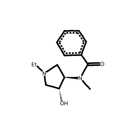 CCN1C[C@@H](O)[C@H](N(C)C(=O)c2ccccc2)C1